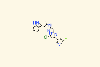 Fc1cncc(-c2cc(Cl)n3nc(N[C@@H]4CCc5[nH]c6ccccc6c5C4)cc3n2)c1